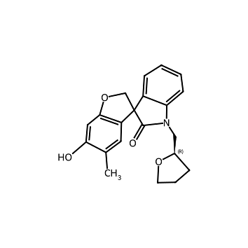 Cc1cc2c(cc1O)OCC21C(=O)N(C[C@H]2CCCO2)c2ccccc21